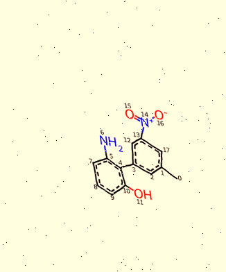 Cc1cc(-c2c(N)cccc2O)cc([N+](=O)[O-])c1